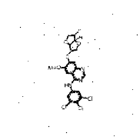 COc1cc2c(Nc3cc(Cl)c(Cl)c(Cl)c3)ncnc2cc1O[C@@H]1CO[C@@H]2C1OC[C@H]2F